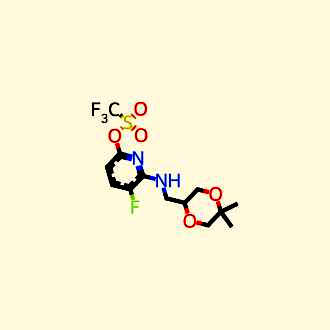 CC1(C)COC(CNc2nc(OS(=O)(=O)C(F)(F)F)ccc2F)CO1